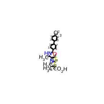 CC(NC(=O)c1ccc(-c2ccc(C(F)(F)F)cc2)cc1)c1csc(SC(C)(C)C(=O)O)n1